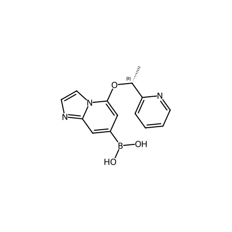 C[C@@H](Oc1cc(B(O)O)cc2nccn12)c1ccccn1